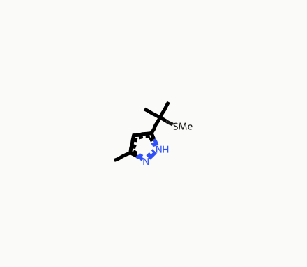 CSC(C)(C)c1cc(C)n[nH]1